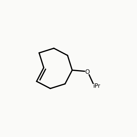 CC(C)OC1CC/C=C/CCC1